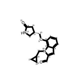 O=Cc1cc2cccc(OC[C@@H]3CNC(=O)C3)c2n1CC1CC1